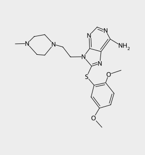 COc1ccc(OC)c(Sc2nc3c(N)ncnc3n2CCN2CCN(C)CC2)c1